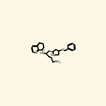 NCCCC(C[C@H]1CC(OCc2ccccc2)CN1)N[C@H]1CCCc2cccnc21